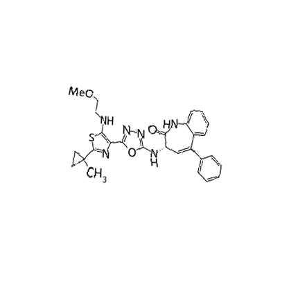 COCCNc1sc(C2(C)CC2)nc1-c1nnc(N[C@H]2C=C(c3ccccc3)c3ccccc3NC2=O)o1